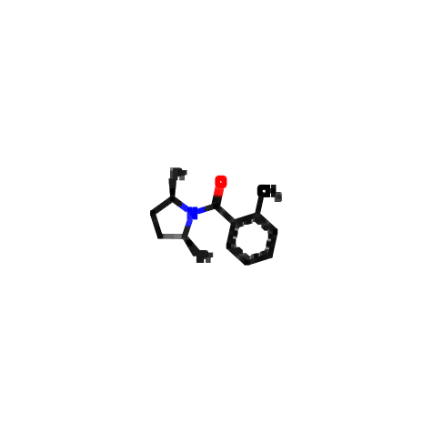 Cc1ccccc1C(=O)N1[C@@H](C(C)C)CC[C@H]1C(C)C